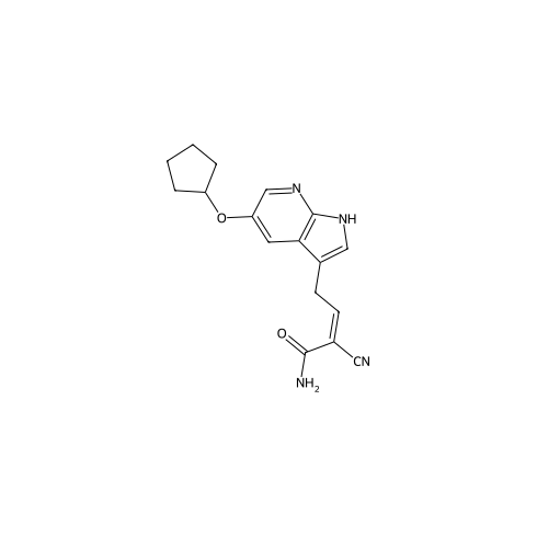 N#CC(=CCc1c[nH]c2ncc(OC3CCCC3)cc12)C(N)=O